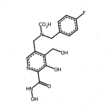 O=C(NO)c1ncc(CN(Cc2ccc(F)cc2)C(=O)O)c(CO)c1O